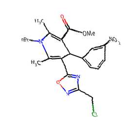 CCCN1C(C)=C(C(=O)OC)C(c2cccc([N+](=O)[O-])c2)C(c2nc(CCl)no2)=C1C